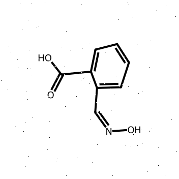 O=C(O)c1ccccc1/C=N\O